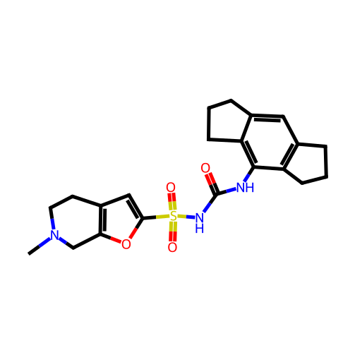 CN1CCc2cc(S(=O)(=O)NC(=O)Nc3c4c(cc5c3CCC5)CCC4)oc2C1